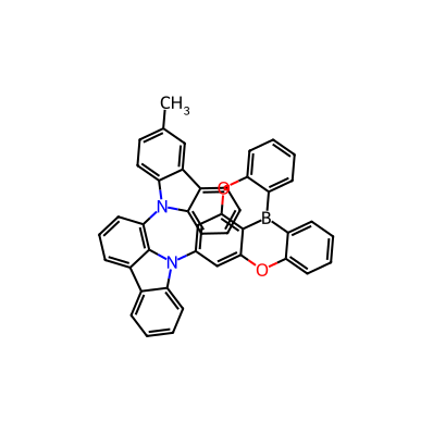 Cc1ccc2c(c1)c1ccccc1n2-c1cccc2c3ccccc3n(-c3cc4c5c(c3)Oc3ccccc3B5c3ccccc3O4)c12